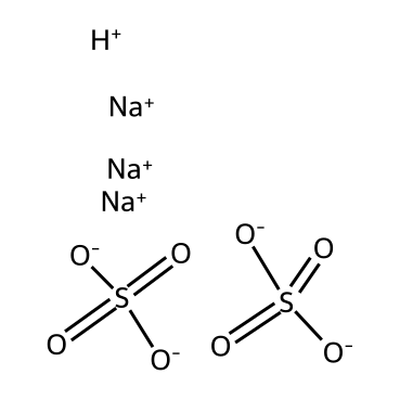 O=S(=O)([O-])[O-].O=S(=O)([O-])[O-].[H+].[Na+].[Na+].[Na+]